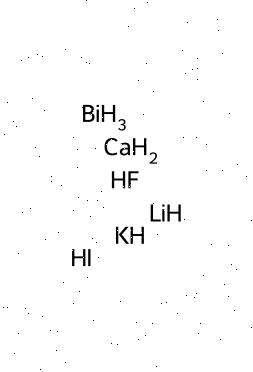 F.I.[BiH3].[CaH2].[KH].[LiH]